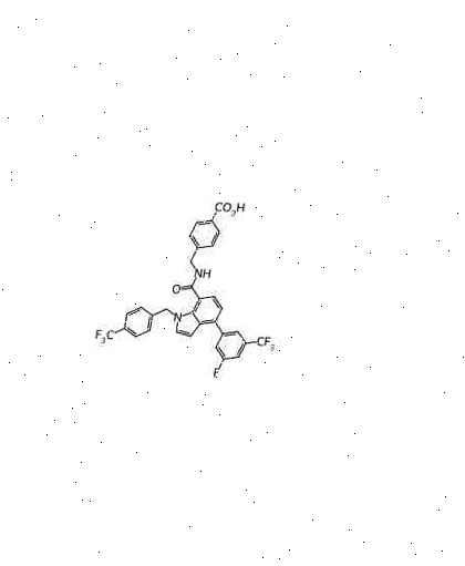 O=C(O)c1ccc(CNC(=O)c2ccc(-c3cc(F)cc(C(F)(F)F)c3)c3ccn(Cc4ccc(C(F)(F)F)cc4)c23)cc1